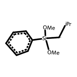 CO[Si]([CH]C(C)C)(OC)c1ccccc1